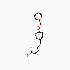 FC(F)/[C]=C\CCc1ccc(OCc2ccccc2)cc1